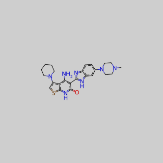 CN1CCN(c2ccc3nc(-c4c(N)c5c(N6CCCCC6)csc5[nH]c4=O)[nH]c3c2)CC1